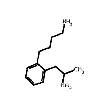 CC(N)Cc1ccccc1CCCCN